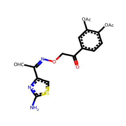 CC(=O)Oc1ccc(C(=O)CON=C(C=O)c2csc(N)n2)cc1OC(C)=O